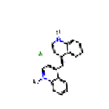 CCN1C=C/C(=C\c2cc[n+](CC)c3ccccc23)c2ccccc21.[Br-]